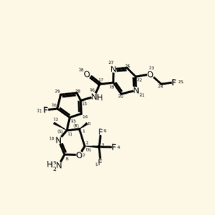 C[C@H]1[C@@H](C(F)(F)F)OC(N)=N[C@]1(C)c1cc(NC(=O)c2cnc(OCF)cn2)ccc1F